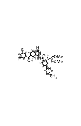 COCC(COC)Nc1cc(N2CCN(C)CC2)ccc1C(=O)Nc1n[nH]c2ccc(C(O)c3cc(F)cc(F)c3)cc12